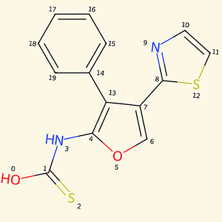 OC(=S)Nc1occ(-c2nccs2)c1-c1ccccc1